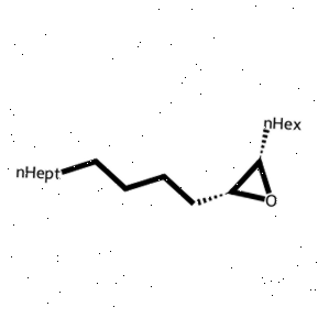 CCCCCCCCCCC[C@H]1O[C@H]1CCCCCC